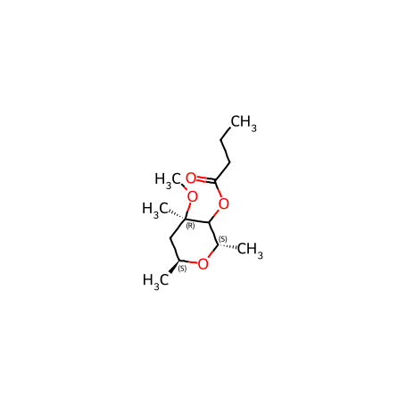 CCCC(=O)OC1[C@H](C)O[C@@H](C)C[C@@]1(C)OC